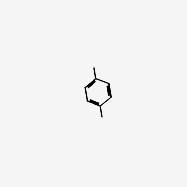 CCc1ccc(P)cc1.[Co]